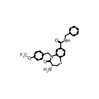 N[C@H]1CSc2ccc(C(=O)NCc3ccccc3)cc2N(Cc2ccc(OC(F)(F)F)cc2)C1=O